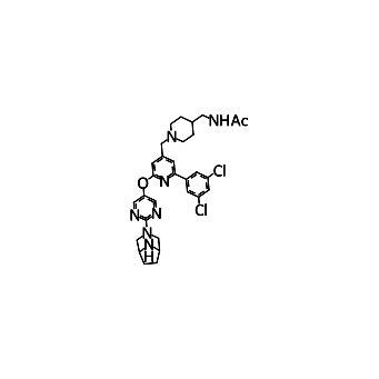 CC(=O)NCC1CCN(Cc2cc(Oc3cnc(N4CC5CCC(C4)N5)nc3)nc(-c3cc(Cl)cc(Cl)c3)c2)CC1